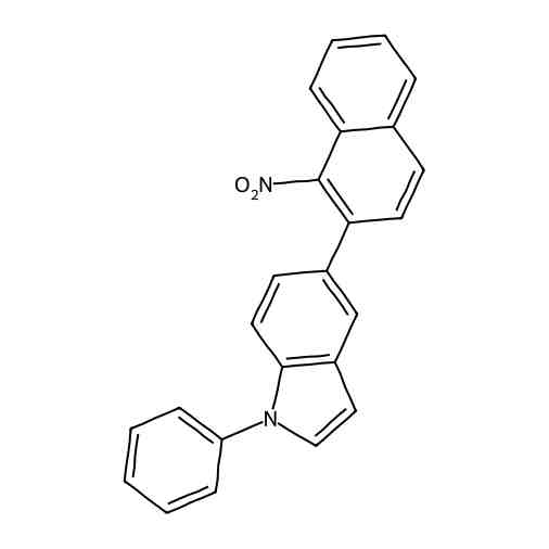 O=[N+]([O-])c1c(-c2ccc3c(ccn3-c3ccccc3)c2)ccc2ccccc12